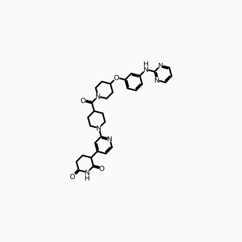 O=C1CCC(c2ccnc(N3CCC(C(=O)N4CCC(Oc5cccc(Nc6ncccn6)c5)CC4)CC3)c2)C(=O)N1